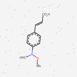 CC(C)(C)ON(C=O)c1ccc(/C=C/C(=O)O)cc1